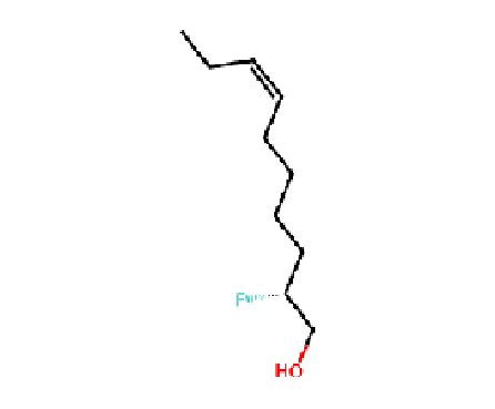 CC/C=C\CCCC[C@@H](F)CO